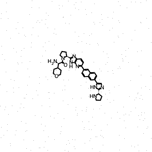 N[C@H](C(=O)N1CCC[C@H]1c1nc2ccc(-c3ccc4cc(-c5cnc([C@@H]6CCCN6)[nH]5)ccc4c3)nc2[nH]1)C1CCOCC1